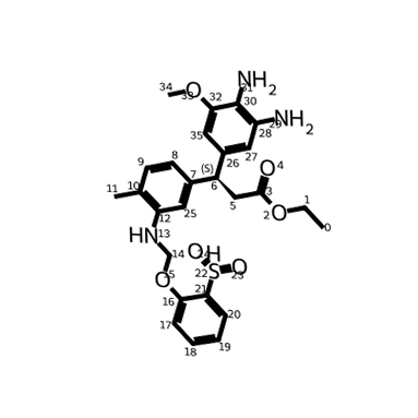 CCOC(=O)C[C@@H](c1ccc(C)c(NCOc2ccccc2[SH](=O)=O)c1)c1cc(N)c(N)c(OC)c1